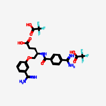 N=C(N)c1ccc(C(=O)N[C@H](CCC(=O)O)COc2cccc(C(=N)N)c2)cc1.O=C(O)C(F)(F)F.O=C(O)C(F)(F)F